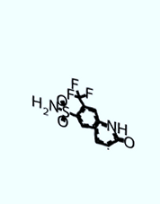 NS(=O)(=O)c1cc2c[c]c(=O)[nH]c2cc1C(F)(F)F